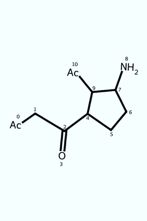 CC(=O)CC(=O)C1CCC(N)C1C(C)=O